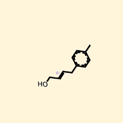 Cc1ccc(C/C=C/CO)cc1